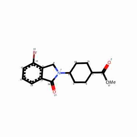 COC(=O)C1CCC(N2Cc3c(Br)cccc3C2=O)CC1